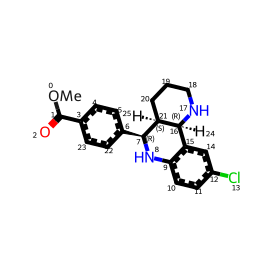 COC(=O)c1ccc([C@@H]2Nc3ccc(Cl)cc3[C@@H]3NCCC[C@H]23)cc1